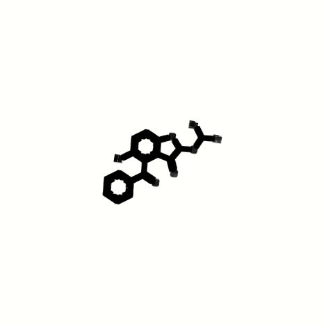 CCc1ccc2c(c1C(=O)c1ccccc1)C(=O)C(OC(Br)CC)O2